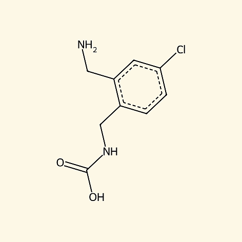 NCc1cc(Cl)ccc1CNC(=O)O